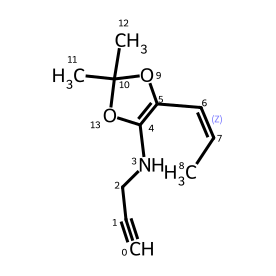 C#CCNC1=C(/C=C\C)OC(C)(C)O1